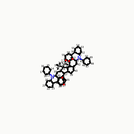 C[Si](C)(C)C1([Si](C)(C)C)c2cc(N(c3ccccc3)c3ccccc3-c3ccccc3)c3ccccc3c2-c2ccc3cc(N(c4ccccc4)c4ccccc4-c4ccccc4)ccc3c21